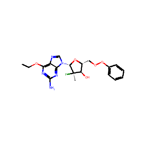 CCOc1nc(N)nc2c1ncn2[C@@H]1O[C@H](COOc2ccccc2)[C@@H](O)[C@@]1(C)F